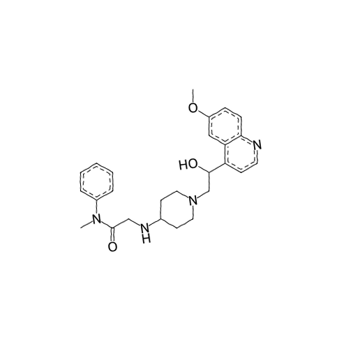 COc1ccc2nccc(C(O)CN3CCC(NCC(=O)N(C)c4ccccc4)CC3)c2c1